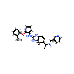 CC(c1ccc2nc(Nc3cccnc3Oc3ccccc3C(C)(C)C)[nH]c2c1)N(C)Cc1cccnc1